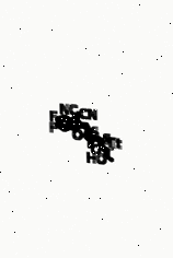 CCSC1=C([C@H](C)[C@@H](C)O)OCc2cc(/C=C3\C(=O)c4cc(F)c(F)cc4C3=C(C#N)C#N)sc21